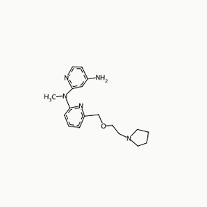 CN(c1cc(N)ccn1)c1cccc(COCCN2CCCC2)n1